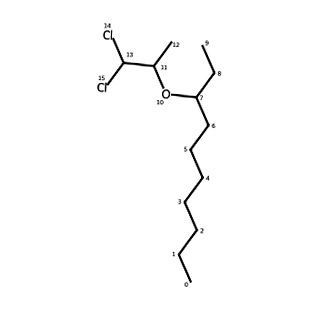 CCCCCCCC(CC)OC(C)C(Cl)Cl